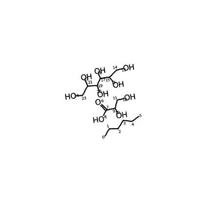 CCCCCC.O=C(O)C(O)CO.OCC(O)C(O)C(O)C(O)CO